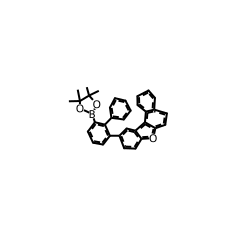 CC1(C)OB(c2cccc(-c3ccc4oc5ccc6ccccc6c5c4c3)c2-c2ccccc2)OC1(C)C